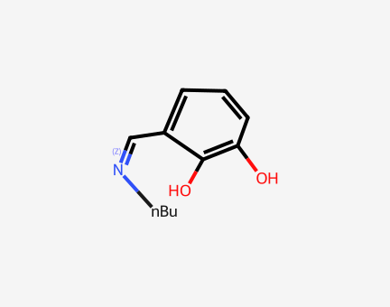 CCCC/N=C\c1cccc(O)c1O